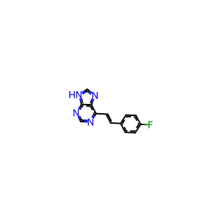 Fc1ccc(/C=C/c2ncnc3[nH]cnc23)cc1